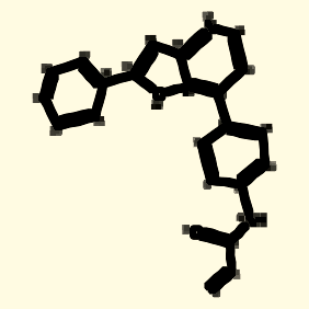 C=CC(=O)Nc1ccc(-c2ccnc3cc(-c4ccccc4)oc23)cc1